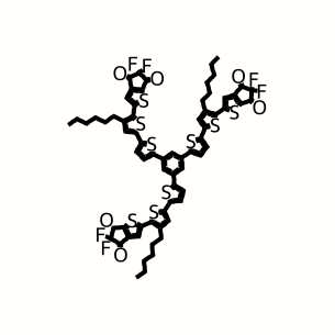 CCCCCCc1cc(-c2ccc(-c3cc(-c4ccc(-c5cc(CCCCCC)c(-c6cc7c(s6)C(=O)C(F)(F)C7=O)s5)s4)cc(-c4ccc(-c5cc(CCCCCC)c(-c6cc7c(s6)C(=O)C(F)(F)C7=O)s5)s4)c3)s2)sc1-c1cc2c(s1)C(=O)C(F)(F)C2=O